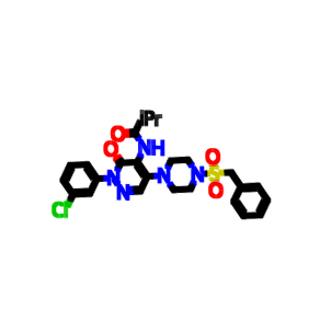 CC(C)C(=O)Nc1c(N2CCN(S(=O)(=O)Cc3ccccc3)CC2)cnn(-c2cccc(Cl)c2)c1=O